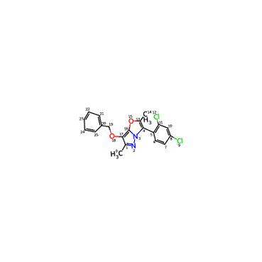 Cc1nn2c(-c3ccc(Cl)cc3Cl)c(C)oc2c1OCc1ccccc1